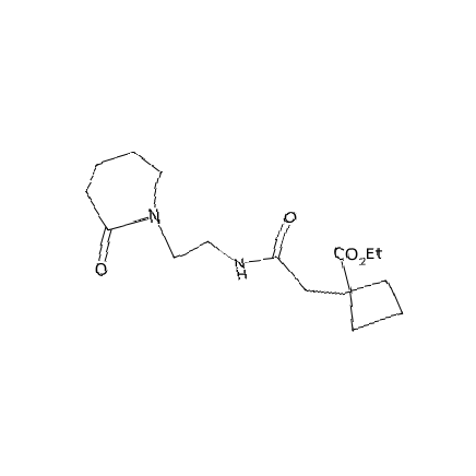 CCOC(=O)C1(CC(=O)NCCN2CCCCC2=O)CCC1